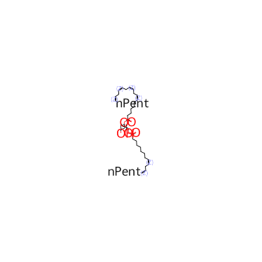 CCCCC/C=C\C/C=C\C/C=C\C/C=C\CCCCCC(=O)O[C@@H](CO)COC(=O)CCCCCCC/C=C\C/C=C\CCCCC